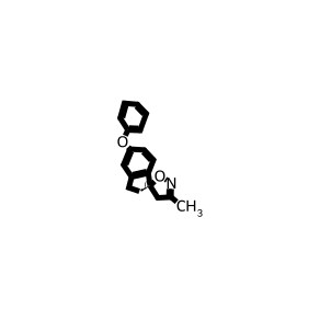 CC1=NO[C@@]2(CCc3cc(Oc4ccccc4)ccc32)C1